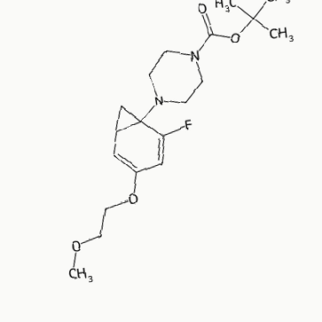 COCCOC1=CC2CC2(N2CCN(C(=O)OC(C)(C)C)CC2)C(F)=C1